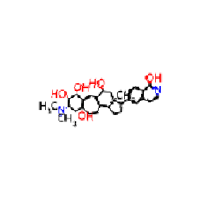 CN(C)[C@H]1C[C@]2(O)CCC3=C(C=C2[C@@H](O)[C@@H]1O)C(O)C[C@]1(C)C(c2ccc4c(O)nccc4c2)=CCC31